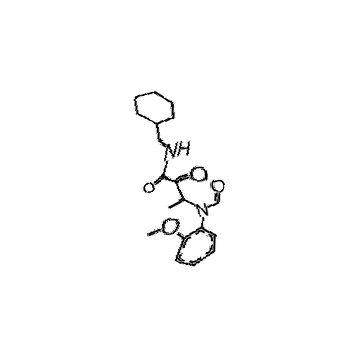 COc1ccccc1N(C=O)C(C)C(=O)C(=O)NCC1CCCCC1